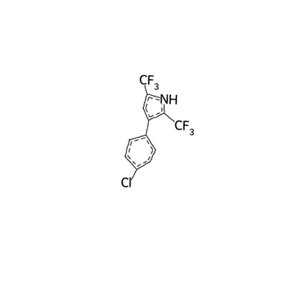 FC(F)(F)c1cc(-c2ccc(Cl)cc2)c(C(F)(F)F)[nH]1